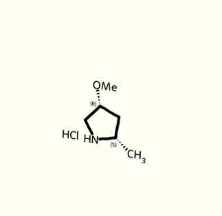 CO[C@H]1CN[C@@H](C)C1.Cl